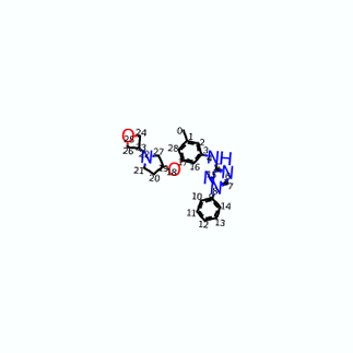 Cc1cc(Nc2ncn(-c3ccccc3)n2)cc(O[C@@H]2CCN(C3COC3)C2)c1